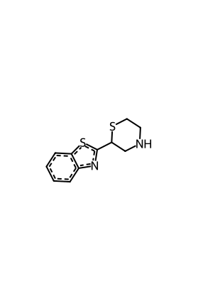 c1ccc2sc(C3CNCCS3)nc2c1